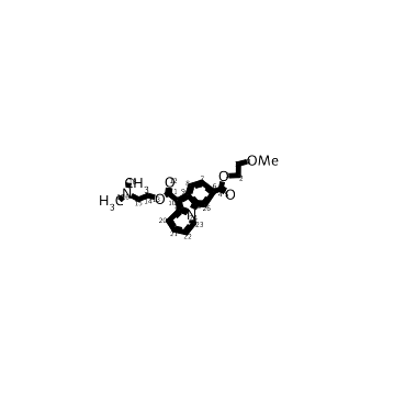 COCCOC(=O)c1ccc2c(C(=O)OCCN(C)C)c3ccccn3c2c1